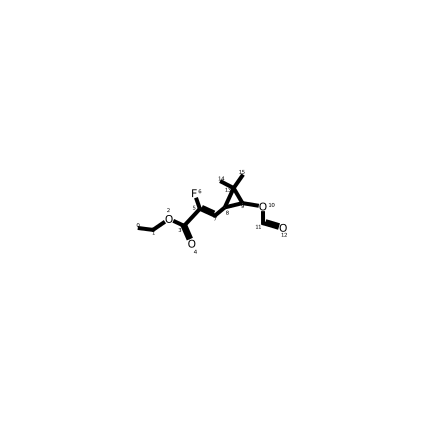 CCOC(=O)C(F)=CC1C(OC=O)C1(C)C